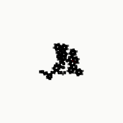 O=C(O)C1=C(CSc2nnnn2CCO)CS[C@@H]2[C@H](NC(=O)/C(=N\OC(OC(c3ccccc3)c3ccccc3)C3=CC(=O)C(OC(c4ccccc4)c4ccccc4)C=N3)c3csc(NC(c4ccccc4)(c4ccccc4)c4ccccc4)n3)C(=O)N12